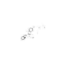 CN(c1nc2cc(C(=O)OCC(C)(C)C)ccc2nc1-c1cc2ccccc2o1)C1CC1